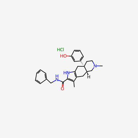 Cc1c(C(=O)NCc2ccccc2)[nH]c2c1C[C@H]1CN(C)CC[C@]1(c1cccc(O)c1)C2.Cl